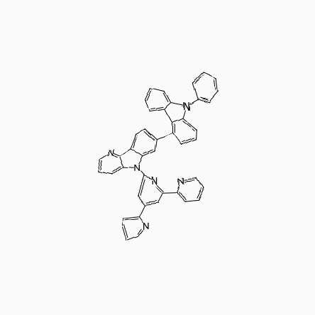 c1ccc(-n2c3ccccc3c3c(-c4ccc5c6ncccc6n(-c6cc(-c7ccccn7)cc(-c7ccccn7)n6)c5c4)cccc32)cc1